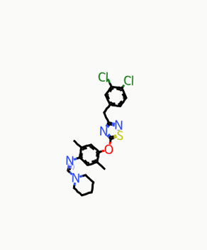 Cc1cc(Oc2nc(Cc3ccc(Cl)c(Cl)c3)ns2)c(C)cc1/N=C\N1CCCCC1